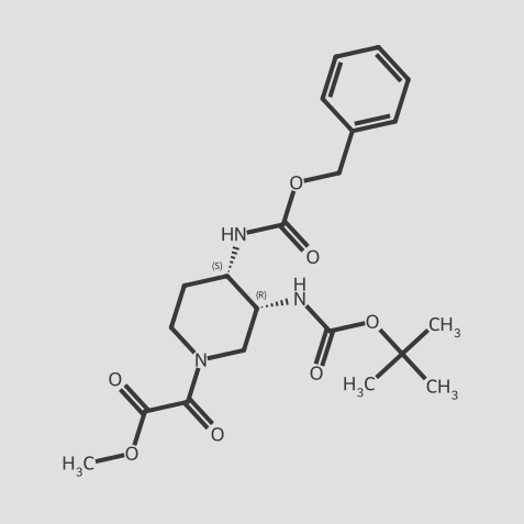 COC(=O)C(=O)N1CC[C@H](NC(=O)OCc2ccccc2)[C@H](NC(=O)OC(C)(C)C)C1